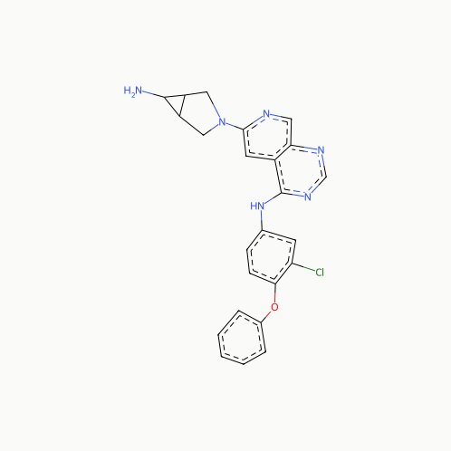 NC1C2CN(c3cc4c(Nc5ccc(Oc6ccccc6)c(Cl)c5)ncnc4cn3)CC12